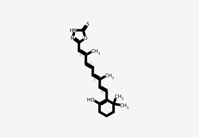 CC(/C=C/C1=C(O)CCCC1(C)C)=C\C=C\C(C)=C\c1n[nH]c(=S)o1